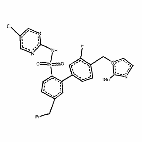 CC(C)Cc1ccc(S(=O)(=O)Nc2ncc(Cl)cn2)c(-c2ccc(Cn3ccnc3C(C)(C)C)c(F)c2)c1